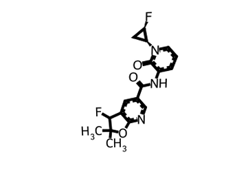 CC1(C)Oc2ncc(C(=O)Nc3cccn([C@H]4C[C@H]4F)c3=O)cc2C1F